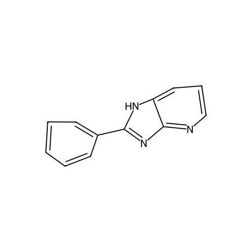 c1ccc(-c2nc3ncccc3[nH]2)cc1